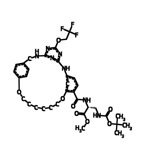 COC(=O)[C@@H](CNC(=O)OC(C)(C)C)NC(=O)c1ccc2cc1OCCCCCCOc1ccc(cc1)CNc1nc(nc(OCC(F)(F)F)n1)N2